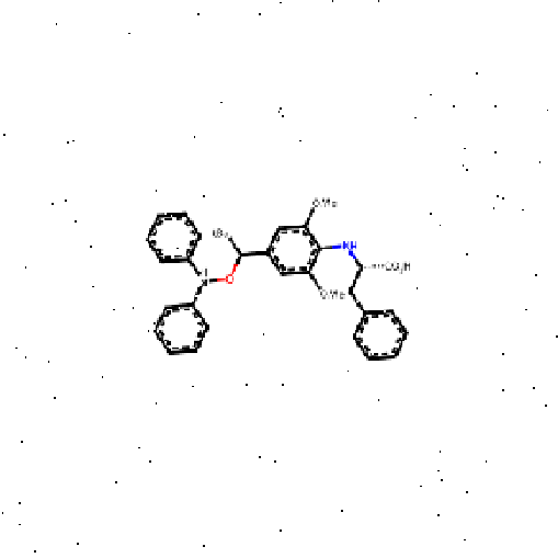 COc1cc(C(O[SiH](c2ccccc2)c2ccccc2)C(C)(C)C)cc(OC)c1N[C@@H](Cc1ccccc1)C(=O)O